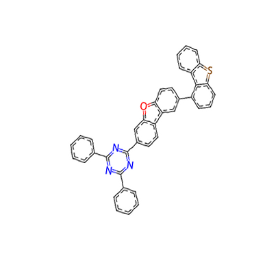 c1ccc(-c2nc(-c3ccccc3)nc(-c3ccc4c(c3)oc3ccc(-c5cccc6sc7ccccc7c56)cc34)n2)cc1